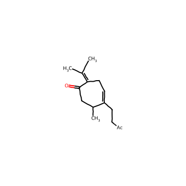 CC(=O)CCC1=CCC(=C(C)C)C(=O)CC1C